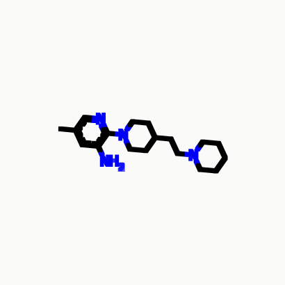 Cc1cnc(N2CCC(CCN3CCCCC3)CC2)c(N)c1